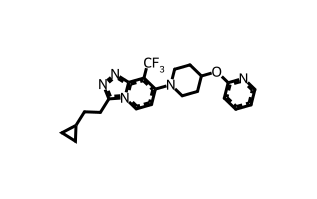 FC(F)(F)c1c(N2CCC(Oc3ccccn3)CC2)ccn2c(CCC3CC3)nnc12